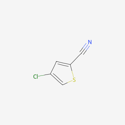 N#Cc1cc(Cl)cs1